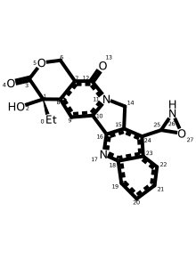 CC[C@@]1(O)C(=O)OCc2c1cc1n(c2=O)Cc2c-1nc1ccccc1c2C1NO1